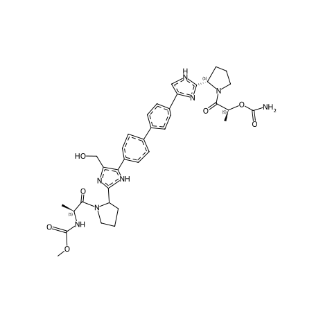 COC(=O)N[C@@H](C)C(=O)N1CCCC1c1nc(CO)c(-c2ccc(-c3ccc(-c4c[nH]c([C@@H]5CCCN5C(=O)[C@H](C)OC(N)=O)n4)cc3)cc2)[nH]1